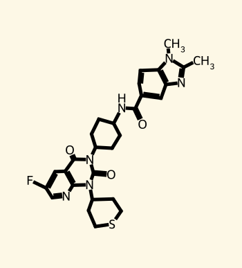 Cc1nc2cc(C(=O)NC3CCC(n4c(=O)c5cc(F)cnc5n(C5CCSCC5)c4=O)CC3)ccc2n1C